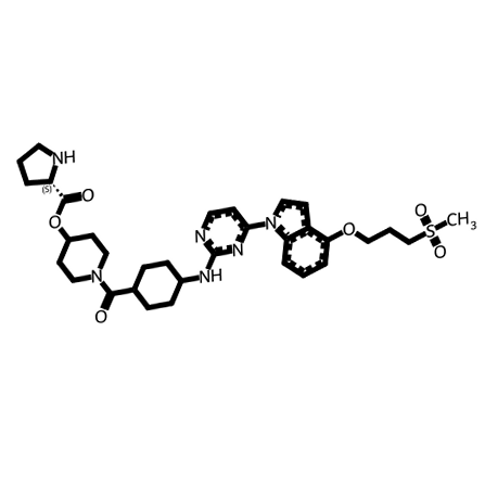 CS(=O)(=O)CCCOc1cccc2c1ccn2-c1ccnc(NC2CCC(C(=O)N3CCC(OC(=O)[C@@H]4CCCN4)CC3)CC2)n1